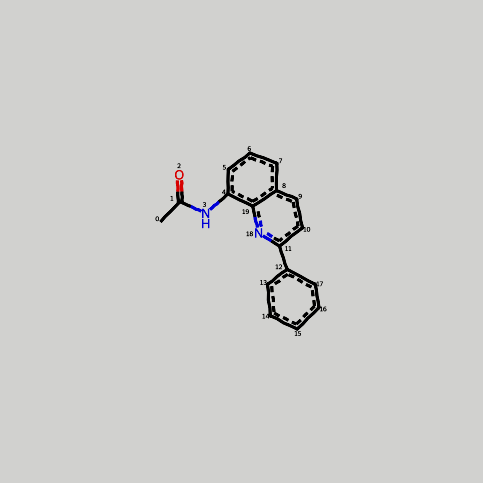 CC(=O)Nc1cccc2ccc(-c3ccccc3)nc12